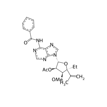 C=C(C)[C@]1(CC)O[C@@H](n2cnc3c(NC(=O)c4ccccc4)ncnc32)[C@H](OC(C)=O)[C@@H]1OC